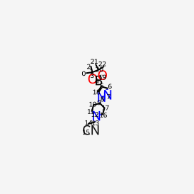 CC1(C)OB(c2cnn(C3CCN(CCC#N)CC3)c2)OC1(C)C